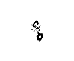 [CH2][C@@](N)(OCc1ccccc1)N1CCCCC1